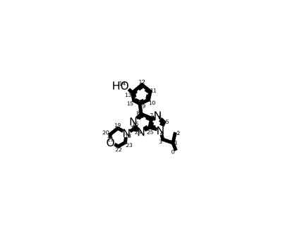 CC(C)Cn1cnc2c(-c3cccc(O)c3)nc(N3CCOCC3)nc21